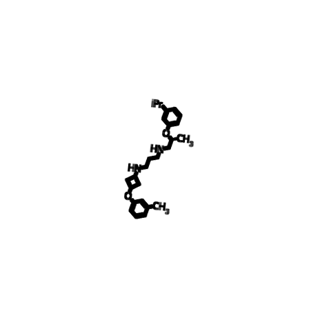 Cc1cccc(OC2CC(NCCCNC[C@H](C)Oc3cccc(C(C)C)c3)C2)c1